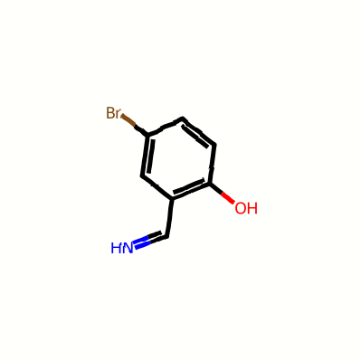 N=Cc1cc(Br)ccc1O